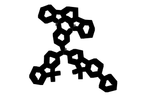 CC1(C)c2ccccc2-c2ccc(N(c3ccc4c(c3)C(C)(C)c3cc(-c5ccccc5)ccc3-4)c3ccc4c(c3)n3c5ccccc5c5ccc6c7ccccc7n4c6c53)cc21